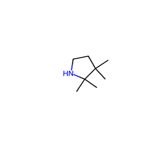 CC1(C)CCNC1(C)C